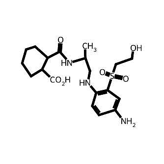 CC(CNc1ccc(N)cc1S(=O)(=O)CCO)NC(=O)C1CCCCC1C(=O)O